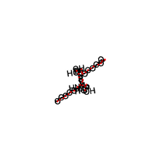 C=CC(=O)OCCOCCOCCOCCOCCN(Cc1ccc(CN(CC(=O)NCCOCCOCCOCCOCCOC)Cc2ccccc2B(O)O)cc1)Cc1ccccc1B(O)O